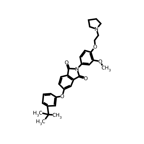 COc1cc(N2C(=O)c3ccc(Oc4cccc(C(C)(C)C)c4)cc3C2=O)ccc1OCCN1CCCC1